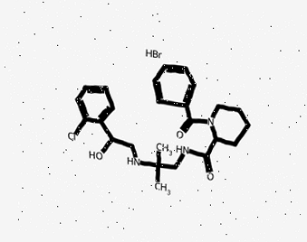 Br.CC(C)(CNC(=O)C1CCCCN1C(=O)c1ccccc1)NCC(O)c1ccccc1Cl